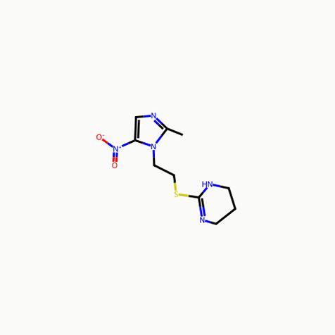 Cc1ncc([N+](=O)[O-])n1CCSC1=NCCCN1